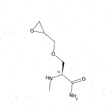 CN[C@@H](COCC1CO1)C(N)=O